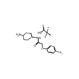 NC1CCN(NC(=O)COc2ccc(C(F)(F)F)cc2)CC1.O=C(O)C(F)(F)F